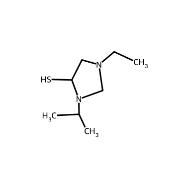 CCN1CC(S)N(C(C)C)C1